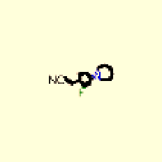 N#C/C=C/c1ccc(N2CCCCCC2)cc1F